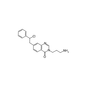 NCCCn1cnc2cc(CC(Cl)c3ccccc3)ccc2c1=O